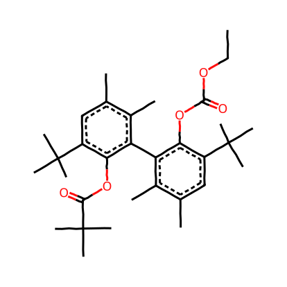 CCOC(=O)Oc1c(C(C)(C)C)cc(C)c(C)c1-c1c(C)c(C)cc(C(C)(C)C)c1OC(=O)C(C)(C)C